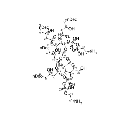 CCCCCCCCCCC[C@@H](O)CC(=O)NC1=C(OP(=O)(O)OP(=O)(O)CCN)OC(CO[C@@H]2O[C@H](CO)[C@@H](OP(=O)(O)OP(=O)(O)OCCN)C(OC(=O)C[C@H](O)CCCCCCCCCCC)C2NC(=O)C[C@H](O)CCCCCCCCCCC)[C@@H](O)C1OC(=O)C[C@H](O)CCCCCCCCCCC